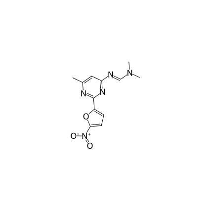 Cc1cc(N=CN(C)C)nc(-c2ccc([N+](=O)[O-])o2)n1